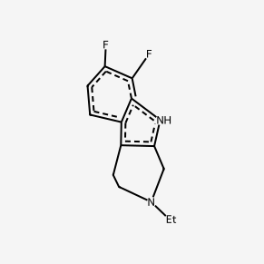 CCN1CCc2c([nH]c3c(F)c(F)ccc23)C1